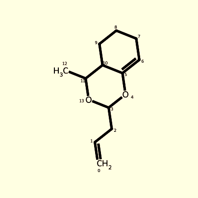 C=CCC1OC2=CCCCC2C(C)O1